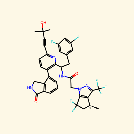 C[C@H]1CC(F)(F)c2c1c(C(F)(F)F)nn2CC(=O)NC(Cc1cc(F)cc(F)c1)c1nc(C#CC(C)(C)O)ccc1-c1cccc2c1CNC2=O